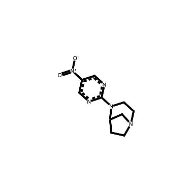 O=[N+]([O-])c1cnc(N2CCN3CCC2C3)nc1